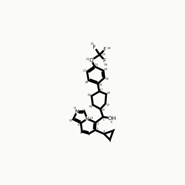 OC(c1c(C2CC2)ccc2cncn12)C1CCC(c2ccc(OC(F)(F)F)cc2)CC1